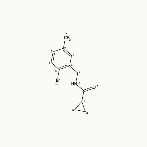 O=C(NCc1cc(C(F)(F)F)ccc1Br)C1CC1